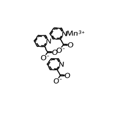 O=C([O-])c1ccccn1.O=C([O-])c1ccccn1.O=C([O-])c1ccccn1.[Mn+3]